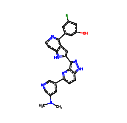 CN(C)c1cncc(-c2ccc3[nH]nc(-c4cc5c(-c6cc(O)cc(F)c6)nccc5[nH]4)c3n2)c1